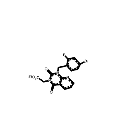 CCOC(=O)Cn1c(=O)c2cccnc2n(Cc2ccc(Br)cc2F)c1=O